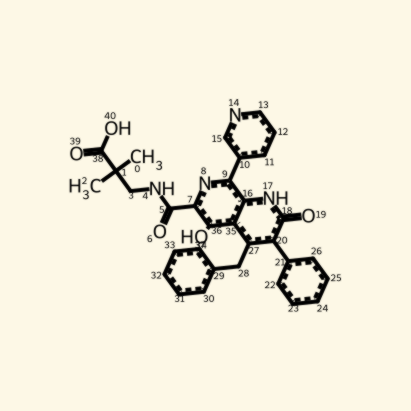 CC(C)(CNC(=O)c1nc(-c2cccnc2)c2[nH]c(=O)c(-c3ccccc3)c(Cc3ccccc3)c2c1O)C(=O)O